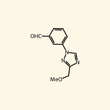 COCc1ncn(-c2cccc(C=O)c2)n1